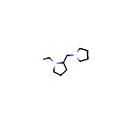 CC(C)CN1CCCC1CN1CCCC1